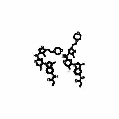 C=CC(=O)Nc1ccc2c(c1)c(C)cn2-c1nc(Nc2cn(CCN3CCOCC3)nc2C)ncc1F.C=CC(=O)Nc1ccc2c(c1)c(C)cn2-c1nc(Nc2cnn(CCN3CCOCC3)c2C)ncc1F